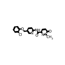 Cn1nc(C(=O)Nc2ccc(COc3ccccc3Cl)cn2)ccc1=O